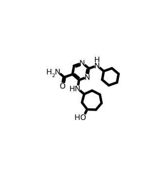 NC(=O)c1cnc(NC2CCCCC2)nc1NC1CCCCC(O)C1